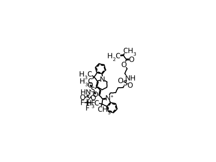 C=C(C)C(=O)OCCNS(=O)(=O)CCCC[N+]1=C(C=CC=C2N(CCCCS(=O)(=O)NS(=O)(=O)C(F)(F)F)c3ccccc3C2(C)C)C(C)(C)c2ccccc21